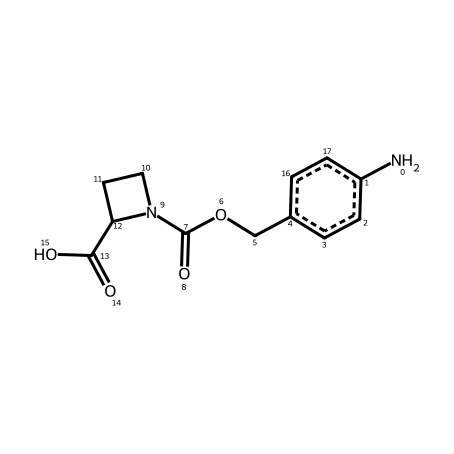 Nc1ccc(COC(=O)N2CCC2C(=O)O)cc1